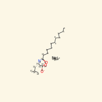 CCCCCCCCCCCC(=O)[N-][C@@H](CC(C)C)C(=O)[O-].[Na+].[Na+]